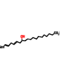 CCCCCCCCCC=CCC=CCC(O)CCCCCCCCCCCC(=O)O